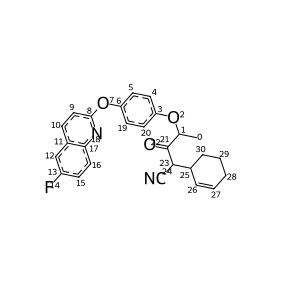 CC(Oc1ccc(Oc2ccc3cc(F)ccc3n2)cc1)C(=O)C(C#N)C1C=CCCC1